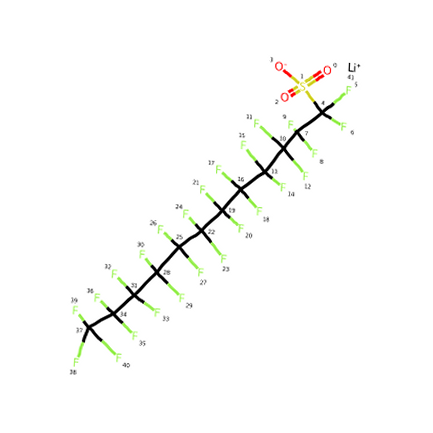 O=S(=O)([O-])C(F)(F)C(F)(F)C(F)(F)C(F)(F)C(F)(F)C(F)(F)C(F)(F)C(F)(F)C(F)(F)C(F)(F)C(F)(F)C(F)(F)F.[Li+]